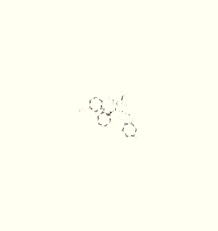 COC(=O)C1(Sc2ccc(C)cc2)CC(=O)N(Cc2ccc(OC)cc2OC)C1c1ccccc1